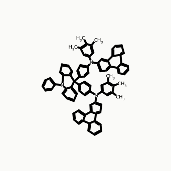 Cc1cc(N(c2ccc(C3(c4ccc(N(c5cc(C)c(C)c(C)c5)c5ccc6c7ccccc7c7ccccc7c6c5)cc4)c4ccccc4N(c4ccccc4)c4ccccc43)cc2)c2ccc3c4ccccc4c4ccccc4c3c2)cc(C)c1C